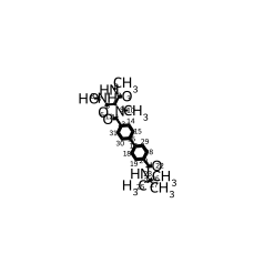 CNC(=O)C(C(=O)NO)N(C)C(=O)c1ccc(-c2ccc(C(=O)NC(C)(C)C)cc2)cc1